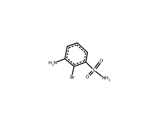 Nc1cccc(S(N)(=O)=O)c1Br